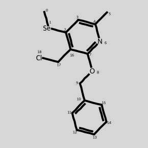 C[Se]c1cc(C)nc(OCc2ccccc2)c1CCl